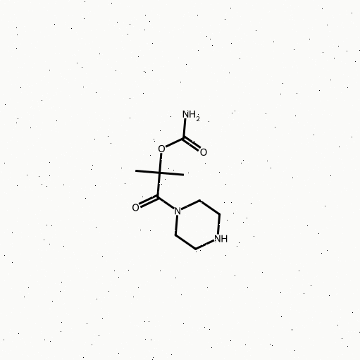 CC(C)(OC(N)=O)C(=O)N1CCNCC1